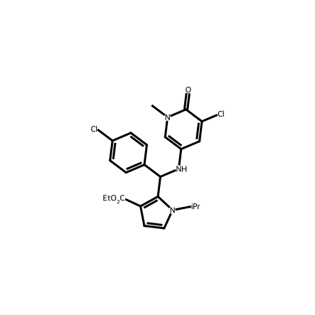 CCOC(=O)c1ccn(C(C)C)c1C(Nc1cc(Cl)c(=O)n(C)c1)c1ccc(Cl)cc1